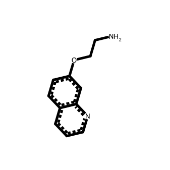 NCCOc1ccc2cccnc2c1